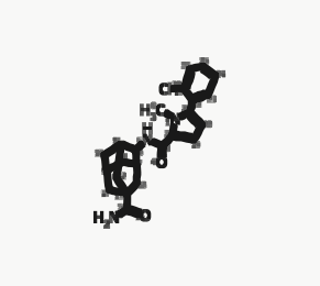 Cn1c(C(=O)NC2C3CC4CC2CC(C(N)=O)(C4)C3)ccc1-c1ccccc1Cl